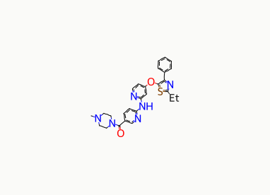 CCc1nc(-c2ccccc2)c(Oc2ccnc(Nc3ccc(C(=O)N4CCN(C)CC4)cn3)c2)s1